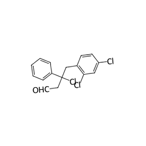 O=CCC(Cl)(Cc1ccc(Cl)cc1Cl)c1ccccc1